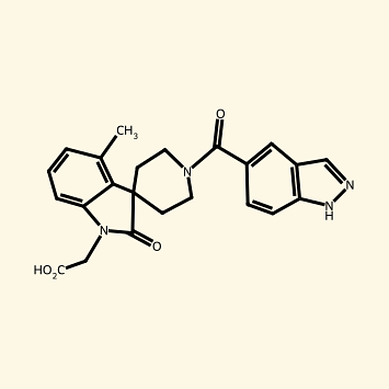 Cc1cccc2c1C1(CCN(C(=O)c3ccc4[nH]ncc4c3)CC1)C(=O)N2CC(=O)O